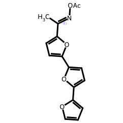 CC(=O)O/N=C(\C)c1ccc(-c2ccc(-c3ccco3)o2)o1